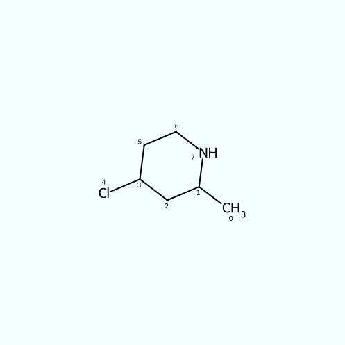 CC1CC(Cl)CCN1